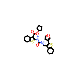 O=C(NCc1c(-c2ccoc2)sc2c1CCCC2)Nc1sc2c(c1C(=O)OC1CCCC1)CCCC2